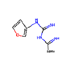 CNC(=N)NC(=N)Nc1ccoc1